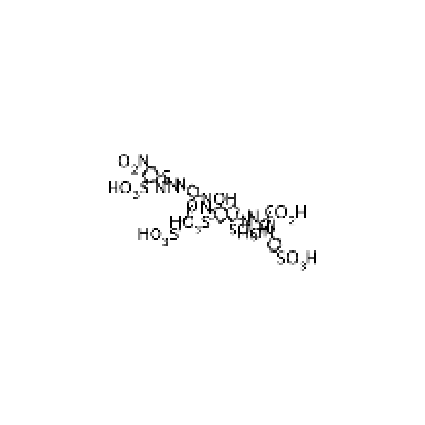 Cc1cc(N=Nc2c(S(=O)(=O)O)cc3c(S(=O)(=O)O)c(N=Nc4c(C(=O)O)nn(-c5ccc(S(=O)(=O)O)cc5)c4O)ccc3c2O)c(OCCCCS(=O)(=O)O)cc1N=Nc1nc2c(S(=O)(=O)O)cc([N+](=O)[O-])cc2s1